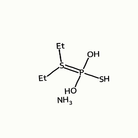 CCS(CC)=P(O)(O)S.N